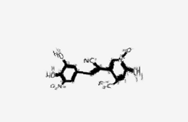 Cc1cc(C(F)(F)F)c(C(C#N)=Cc2cc(O)c(O)c([N+](=O)[O-])c2)c[n+]1[O-]